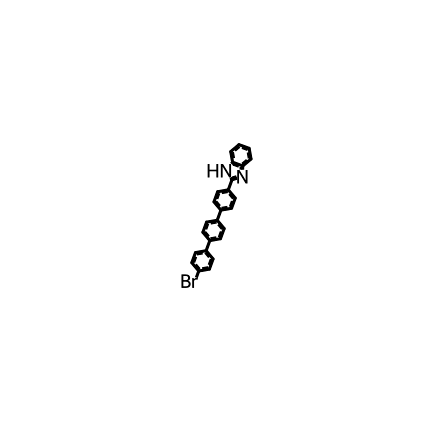 Brc1ccc(-c2ccc(-c3ccc(-c4nc5ccccc5[nH]4)cc3)cc2)cc1